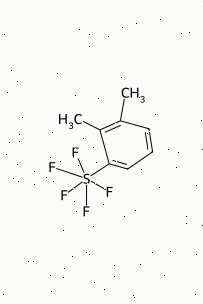 Cc1cccc(S(F)(F)(F)(F)F)c1C